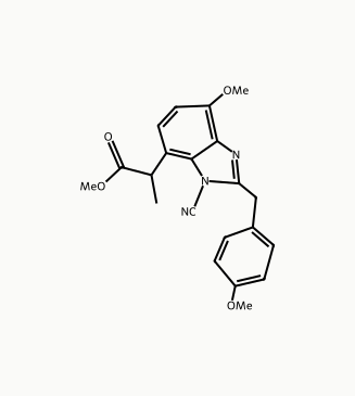 COC(=O)C(C)c1ccc(OC)c2nc(Cc3ccc(OC)cc3)n(C#N)c12